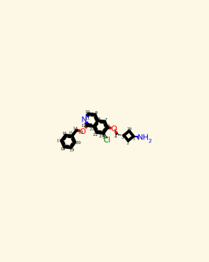 N[C@H]1C[C@H](COc2cc3ccnc(OCc4ccccc4)c3cc2Cl)C1